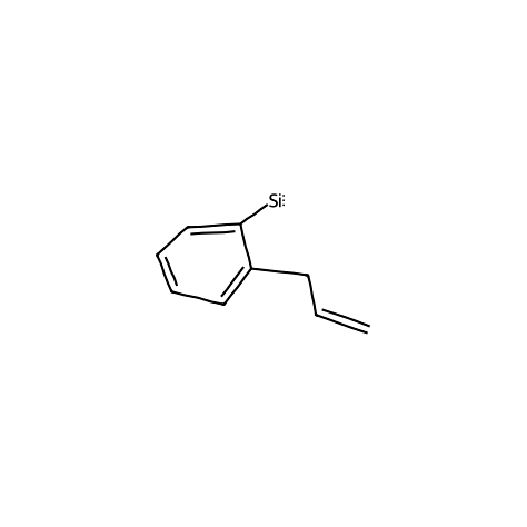 C=CCc1ccccc1[Si]